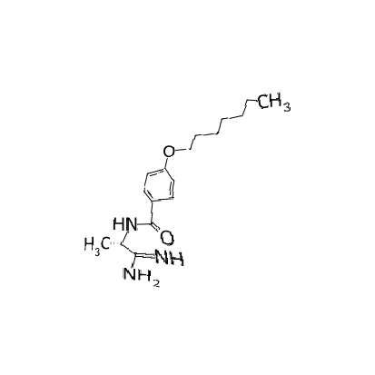 CCCCCCCOc1ccc(C(=O)N[C@@H](C)C(=N)N)cc1